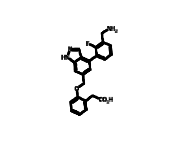 NCc1cccc(-c2cc(COc3ccccc3CC(=O)O)cc3[nH]ncc23)c1F